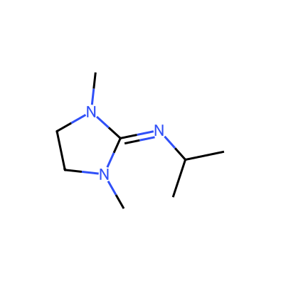 CC(C)N=C1N(C)CCN1C